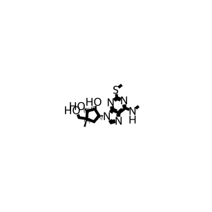 CNc1nc(SC)nc2c1ncn2[C@@H]1C[C@](C)(CO)[C@@H](O)[C@H]1O